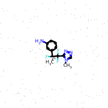 Cn1cnnc1C(F)(F)[C@@](C)(F)c1cccc(N)c1